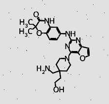 CC1(C)Oc2ccc(Nc3nc(N4CCC(CN)(CCO)CC4)c4occc4n3)cc2NC1=O